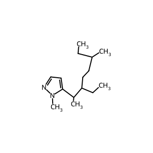 CCC(C)CCC(CC)C(C)c1ccnn1C